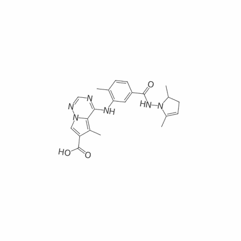 CC1=CCC(C)N1NC(=O)c1ccc(C)c(Nc2ncnn3cc(C(=O)O)c(C)c23)c1